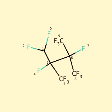 FC(F)C(F)(C(F)(F)F)C(F)(C(F)(F)F)C(F)(F)F